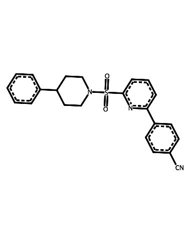 N#Cc1ccc(-c2cccc(S(=O)(=O)N3CCC(c4ccccc4)CC3)n2)cc1